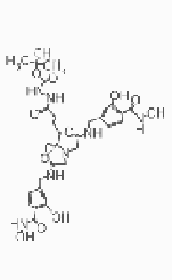 CC(C)(C)OC(=O)NNC(=O)CCCC(=O)N(CC(=O)NCc1ccc(C(=O)NO)c(O)c1)CC(=O)NCc1ccc(C(=O)NO)c(O)c1